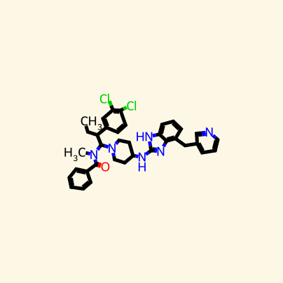 CCC(c1ccc(Cl)c(Cl)c1)C(N1CCC(Nc2nc3c(Cc4cccnc4)cccc3[nH]2)CC1)N(C)C(=O)c1ccccc1